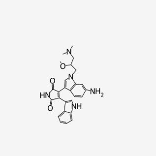 COC(CN(C)C)Cn1cc(C2=C(c3c[nH]c4ccccc34)C(=O)NC2=O)c2ccc(N)cc21